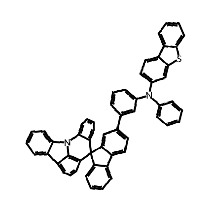 c1ccc(N(c2cccc(-c3ccc4c(c3)C3(c5ccccc5-4)c4ccccc4-n4c5ccccc5c5cccc3c54)c2)c2ccc3c(c2)sc2ccccc23)cc1